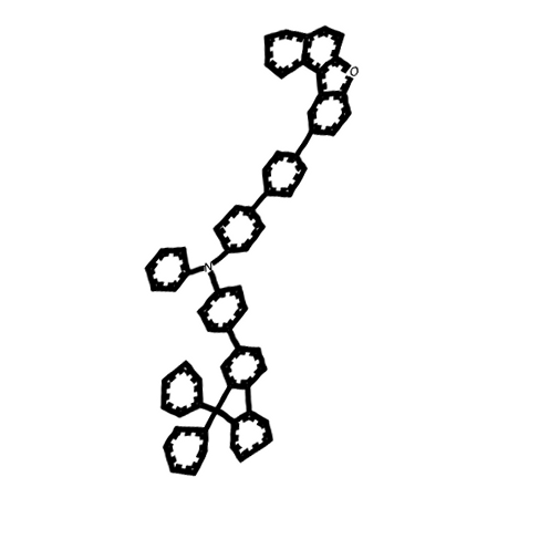 c1ccc(N(c2ccc(-c3ccc(-c4ccc5oc6ccc7ccccc7c6c5c4)cc3)cc2)c2ccc(-c3ccc4c(c3)C(c3ccccc3)(c3ccccc3)c3ccccc3-4)cc2)cc1